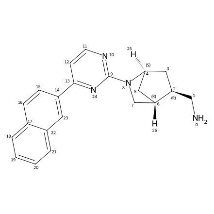 NC[C@@H]1C[C@H]2C[C@H]1CN2c1nccc(-c2ccc3ccccc3c2)n1